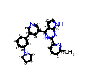 Cc1cccc(-c2nc(-c3cncc(-c4cccc(N5CCCC5)c4)c3)c3cc[nH]c3n2)n1